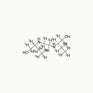 [2H]C([2H])([2H])C([2H])([2H])[C@@]([2H])(NC([2H])([2H])C([2H])([2H])N[C@@]([2H])(C([2H])([2H])O)C([2H])([2H])C([2H])([2H])[2H])C([2H])([2H])O